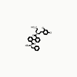 CCCCN(Cc1ccccc1)C(=O)c1ccccc1-c1ccccc1C(=O)N(CCC(=O)O)CCc1ccc(Cl)cc1Cl